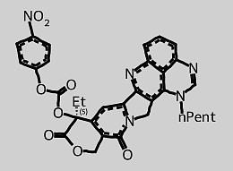 CCCCCN1C=Nc2cccc3nc4c(c1c23)Cn1c-4cc2c(c1=O)COC(=O)[C@@]2(CC)OC(=O)Oc1ccc([N+](=O)[O-])cc1